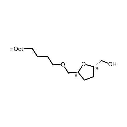 CCCCCCCCCCCCOC[C@@H]1CC[C@@H](CO)O1